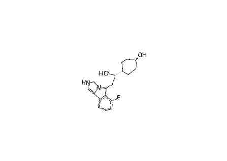 OC(CC1c2c(F)cccc2C2=CNCN21)[C@H]1CC[C@H](O)CC1